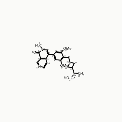 COc1cc(-c2cn(C)c(=O)c3cnccc23)cc(OC)c1CN1CC(N(C)C(=O)O)C1